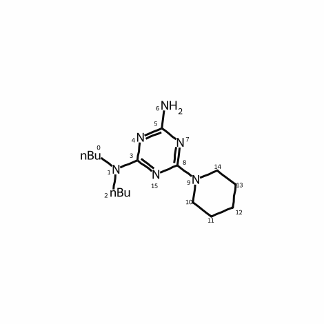 CCCCN(CCCC)c1nc(N)nc(N2CCCCC2)n1